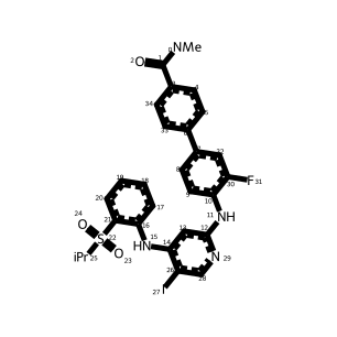 CNC(=O)c1ccc(-c2ccc(Nc3cc(Nc4ccccc4S(=O)(=O)C(C)C)c(I)cn3)c(F)c2)cc1